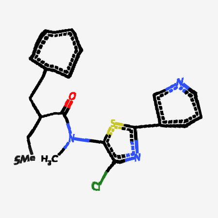 CSCC(Cc1ccccc1)C(=O)N(C)c1sc(-c2cccnc2)nc1Cl